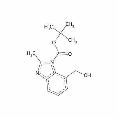 Cc1nc2cccc(CO)c2n1C(=O)OC(C)(C)C